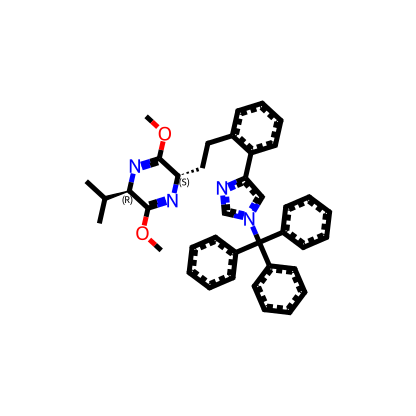 COC1=N[C@H](C(C)C)C(OC)=N[C@H]1CCc1ccccc1-c1cn(C(c2ccccc2)(c2ccccc2)c2ccccc2)cn1